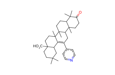 CC1(C)CCC2(C(=O)O)CCC3(C)C(=C(c4ccncc4)CC4C5(C)CCC(=O)C(C)(C)C5CCC43C)C2C1